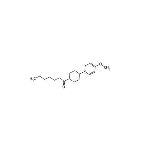 CCCCCCC(=O)C1CCC(c2ccc(OC)cc2)CC1